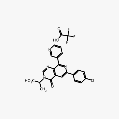 CC(C(=O)O)n1cnc2c(-c3cccnc3)nc(-c3ccc(Cl)cc3)cc2c1=O.O=C(O)C(F)(F)F